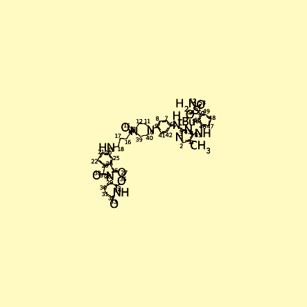 Cc1cnc(Nc2ccc(N3CCN(C(=O)CCCNc4ccc5c(c4)C(=O)N(C4CCC(=O)NC4=O)C5=O)CC3)cc2)nc1Nc1cccc(S(N)(=O)=O)c1C(C)(C)C